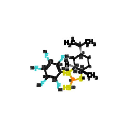 C=C(C)[C@@H]1CC[C@]2(C)SP(S)[SH](c3c(F)c(F)c(F)c(F)c3F)[C@H]2C1